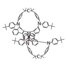 CC(C)(C)c1ccc(N2c3ccc(cc3)C(C)(C)CC(C)(C)c3ccc(cc3)N(c3ccc(C(C)(C)C)cc3)c3cc4c(c5ccccc35)-c3ccc5cc3C4(c3ccccc3)C3(c4ccccc4)c4cc2ccc4-c2c3cc(c3ccccc23)N(c2ccc(C(C)(C)C)cc2)c2ccc(cc2)C(C)(C)CC(C)(C)c2ccc(cc2)N5c2ccc(C(C)(C)C)cc2)cc1